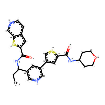 CCC(NC(=O)c1cc2ccncc2s1)c1cncc(-c2csc(C(=O)NC3CCOCC3)c2)c1